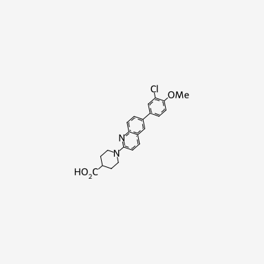 COc1ccc(-c2ccc3nc(N4CCC(C(=O)O)CC4)ccc3c2)cc1Cl